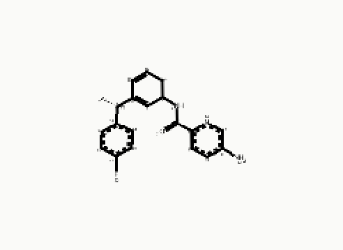 C[C@H](C1=CC(NC(=O)c2ccc(N)cn2)CC=C1)c1ccc(F)cc1